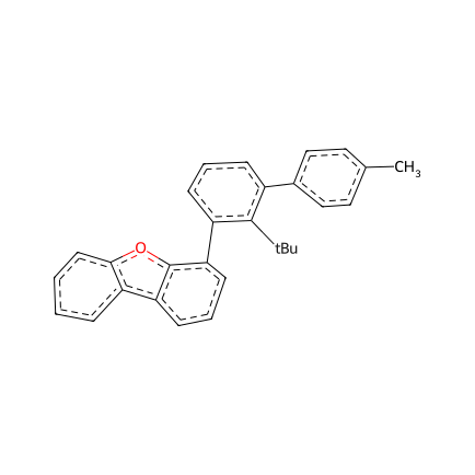 Cc1ccc(-c2cccc(-c3cccc4c3oc3ccccc34)c2C(C)(C)C)cc1